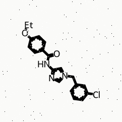 CCOc1ccc(C(=O)Nc2cn(Cc3cccc(Cl)c3)cn2)cc1